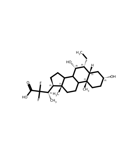 CC[C@H]1[C@@H](O)C2C3CC[C@H]([C@H](C)C(F)(F)C(=O)O)[C@@]3(C)CCC2[C@@]2(C)CC[C@@H](O)C[C@@H]12